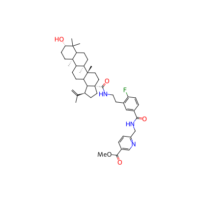 C=C(C)[C@@H]1CC[C@]2(C(=O)NCCc3cc(C(=O)NCc4ccc(C(=O)OC)cn4)ccc3F)CC[C@]3(C)C(CCC4[C@@]5(C)CC[C@H](O)C(C)(C)C5CC[C@]43C)C12